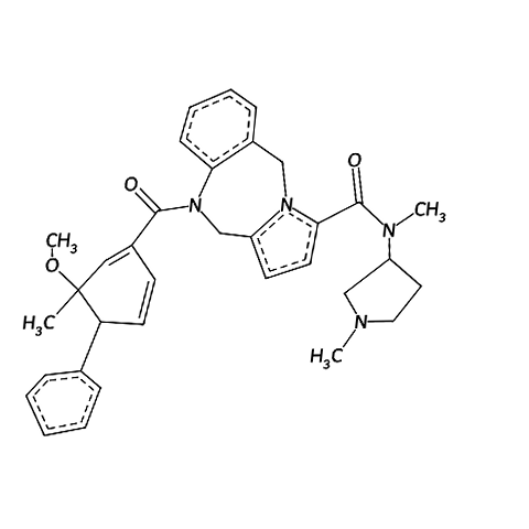 COC1(C)C=C(C(=O)N2Cc3ccc(C(=O)N(C)C4CCN(C)C4)n3Cc3ccccc32)C=CC1c1ccccc1